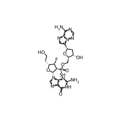 Nc1nc2c(ncn2[C@@H]2O[C@H](CCO)[C@@H](F)[C@H]2P(=O)(S)OC[C@H]2O[C@@H](c3cnc4c(N)ncnn34)C[C@@H]2O)c(=O)[nH]1